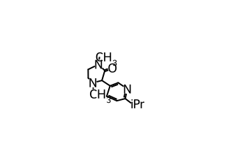 CC(C)c1ccc(C2C(=O)N(C)CCN2C)cn1